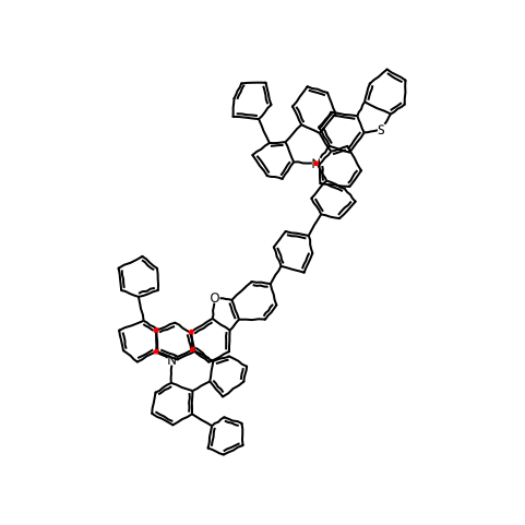 c1ccc(-c2cccc(N(c3ccc4c(c3)oc3cc(-c5ccc(-c6cccc(N(c7ccc8c(c7)sc7ccccc78)c7cccc(-c8ccccc8)c7-c7ccccc7-c7ccccc7)c6)cc5)ccc34)c3cccc(-c4ccccc4)c3-c3ccccc3-c3ccccc3)c2)cc1